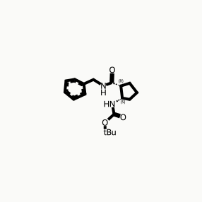 CC(C)(C)OC(=O)N[C@H]1CCC[C@H]1C(=O)NCc1ccccc1